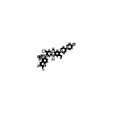 CCc1cc(Nc2ncc(Cl)c(Nc3ccc4nc(C)c(F)cc4c3P(C)(C)=O)n2)c(OC)cc1N1CCC(N2CCC(=O)CC2)CC1